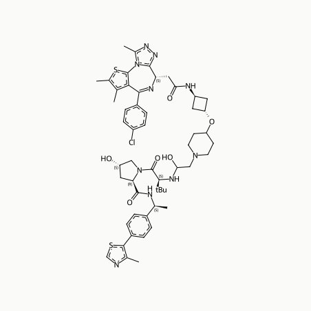 Cc1ncsc1-c1ccc([C@H](C)NC(=O)[C@H]2C[C@H](O)CN2C(=O)[C@@H](NC(O)CN2CCC(O[C@H]3C[C@H](NC(=O)C[C@@H]4N=C(c5ccc(Cl)cc5)c5c(sc(C)c5C)-n5c(C)nnc54)C3)CC2)C(C)(C)C)cc1